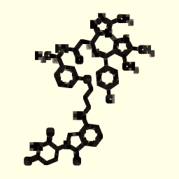 Cc1sc2c(c1C)C(c1ccc(Cl)cc1)=N[C@@H](CC(=O)N[C@H](C)c1cccc(OCCCNc3cccc4c3CN(C3CCC(=O)NC3=O)C4=O)c1)c1nnc(C)n1-2